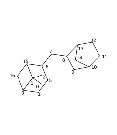 CC1(C)C2CCC(CC3CC4CCC3C4)C1C2